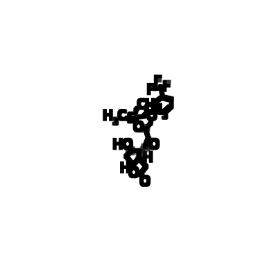 CC[Si](CC)(CC)O[C@@H](COc1cccc(C(F)(F)F)c1)C1O[C@@H]1[C@@H]1[C@H]2CC(=O)O[C@H]2C[C@H]1O